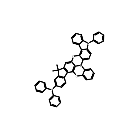 CC1(C)c2cc(N(c3ccccc3)c3ccccc3)ccc2-c2c1cc1c3c2Oc2ccccc2B3c2ccc3c(c2O1)c1ccccc1n3-c1ccccc1